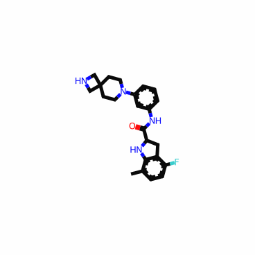 Cc1ccc(F)c2c1NC(C(=O)Nc1cccc(N3CCC4(CC3)CNC4)c1)C2